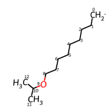 [CH2]CCCCCCCCOC(C)C